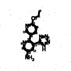 CCOc1ccc(-c2ncc(N)cc2-c2nnn[nH]2)cn1